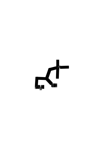 C[N+](C)(C)CC(O)CS(=O)(=O)O